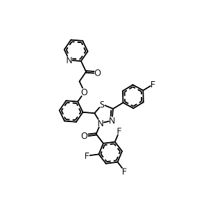 O=C(COc1ccccc1C1SC(c2ccc(F)cc2)=NN1C(=O)c1c(F)cc(F)cc1F)c1ccccn1